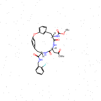 COC(=O)C[C@@H]1NC(=O)[C@@H](NC(=O)OC(C)(C)C)Cc2cccc(c2)Oc2ccc(cc2)C[C@@H](C(=O)NCc2ccccc2F)NC1=O